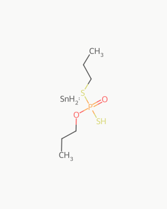 CCCOP(=O)(S)SCCC.[SnH2]